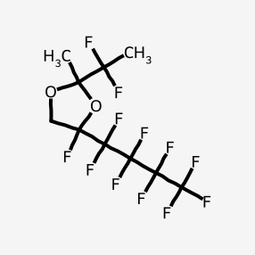 CC(F)(F)C1(C)OCC(F)(C(F)(F)C(F)(F)C(F)(F)C(F)(F)F)O1